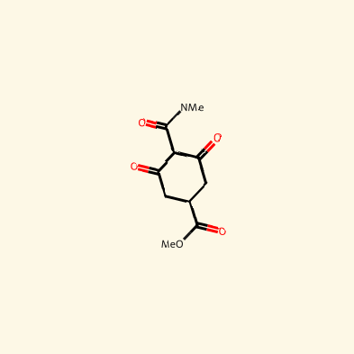 CNC(=O)C1C(=O)CC(C(=O)OC)CC1=O